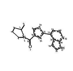 CC1CCCN1C(=O)c1csc(-c2ccnc3[nH]ccc23)n1